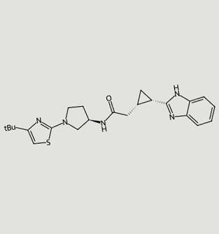 CC(C)(C)c1csc(N2CC[C@@H](NC(=O)C[C@@H]3C[C@@H]3c3nc4ccccc4[nH]3)C2)n1